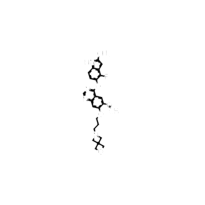 COc1cc2c(Oc3ccc4[nH]c(C)cc4c3F)ncnc2cc1OCCCN1CC2(COC2)C1